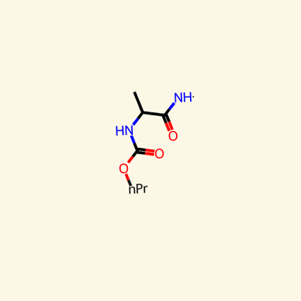 CCCOC(=O)NC(C)C([NH])=O